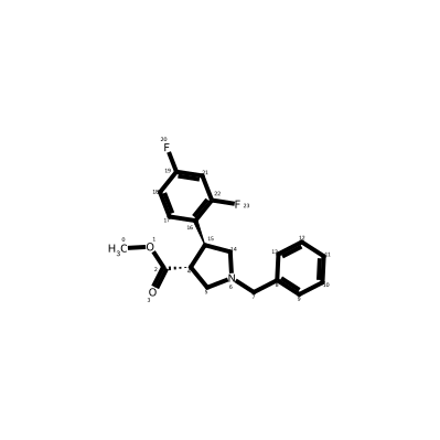 COC(=O)[C@H]1CN(Cc2ccccc2)C[C@@H]1c1ccc(F)cc1F